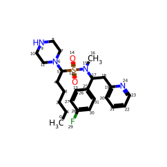 CCCCCC(N1CCNCC1)S(=O)(=O)N(C)C(Cc1ccccn1)c1ccc(F)cc1